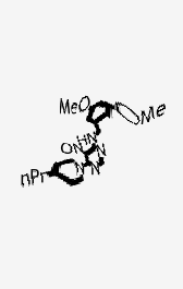 CCCC1CCN(c2ncnc(NCc3cc(OC)cc(OC)c3)c2N=O)CC1